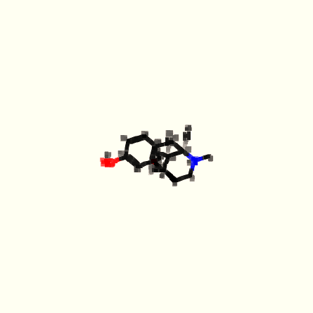 CN1CC[C@]23CCCCC[C@H]2[C@H]1Cc1ccc(O)cc13